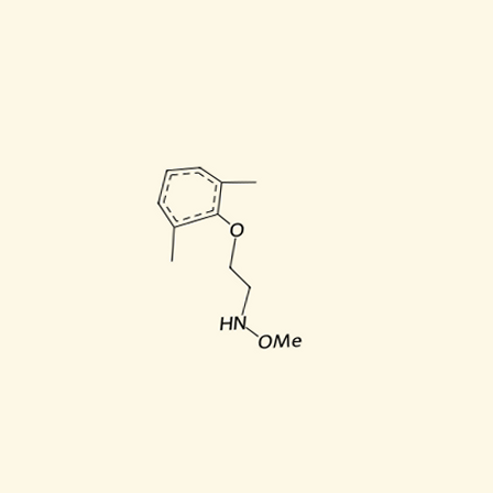 CONCCOc1c(C)cccc1C